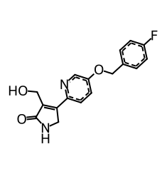 O=C1NCC(c2ccc(OCc3ccc(F)cc3)cn2)=C1CO